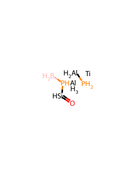 BP[SiH]=O.[AlH2][PH2].[AlH3].[Ti]